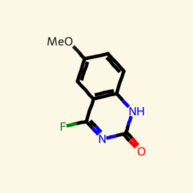 COc1ccc2[nH]c(=O)nc(F)c2c1